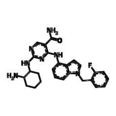 NC(=O)c1cnc(NC2CCCCC2N)nc1Nc1cccc2c1ccn2Cc1ccccc1F